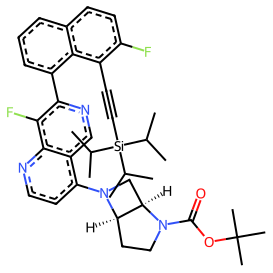 CC(C)[Si](C#Cc1c(F)ccc2cccc(-c3ncc4c(N5C[C@@H]6[C@H]5CCN6C(=O)OC(C)(C)C)ccnc4c3F)c12)(C(C)C)C(C)C